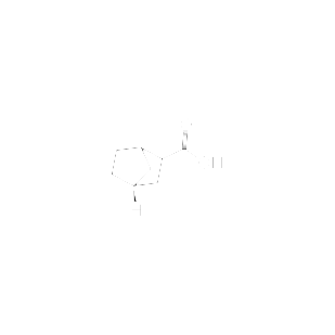 O=C(O)C1C[C@@H]2CCC1C2